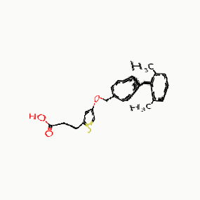 Cc1cccc(C)c1-c1cccc(COc2csc(CCC(=O)O)c2)c1